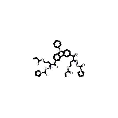 C=CC(=O)OCC/C(=N\OC(=O)n1cccc1)C(=O)c1ccc2c(c1)c1cc(C(=O)/C(CCOC(=O)C=C)=N/OC(=O)n3cccc3)ccc1n2-c1ccccc1